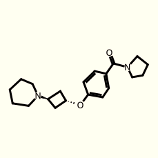 O=C(c1ccc(O[C@H]2C[C@H](N3CCCCC3)C2)cc1)N1CCCC1